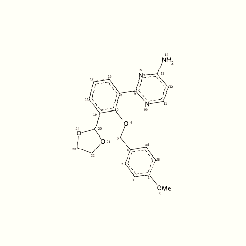 COc1ccc(COc2c(-c3nccc(N)n3)cccc2C2OCCO2)cc1